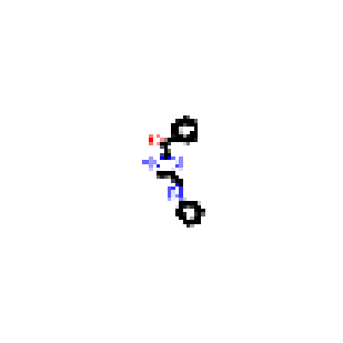 O=C(C1=NC(CNc2ccccc2)CN1)c1ccccc1